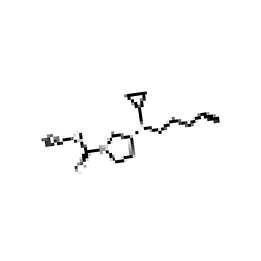 C=CCCCN(C1CC1)[C@@H]1CCN(C(=O)OCCCC)C1